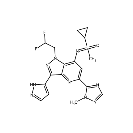 Cn1ncnc1-c1cc(N=S(C)(=O)C2CC2)c2c(n1)c(-c1ccn[nH]1)nn2CC(F)F